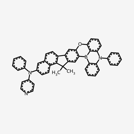 CC1(C)c2cc3c(cc2-c2ccc4cc(N(c5ccccc5)c5ccncc5)ccc4c21)Oc1cccc2c1B3c1ccccc1N2c1ccccc1